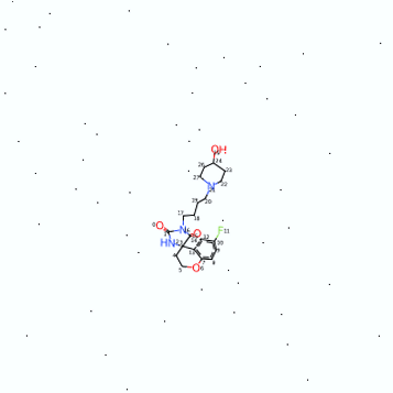 O=C1NC2(CCOc3ccc(F)cc32)C(=O)N1CCCCN1CCC(O)CC1